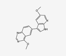 COc1cnc2[nH]cc(-c3ccc4ncnc(OC)c4c3)c2c1